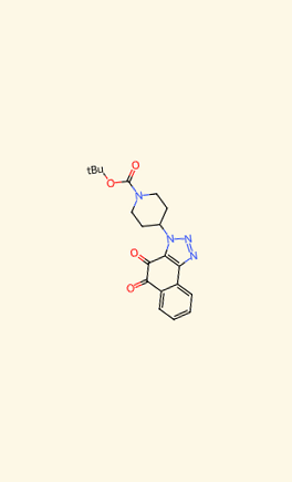 CC(C)(C)OC(=O)N1CCC(n2nnc3c2C(=O)C(=O)c2ccccc2-3)CC1